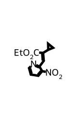 CCOC(=O)/C(=C\c1ncccc1[N+](=O)[O-])C1CC1